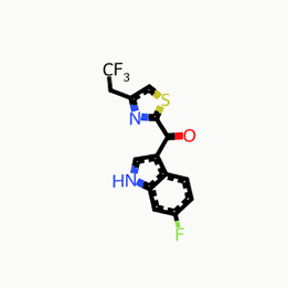 O=C(c1nc(CC(F)(F)F)cs1)c1c[nH]c2cc(F)ccc12